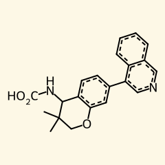 CC1(C)COc2cc(-c3cncc4ccccc34)ccc2C1NC(=O)O